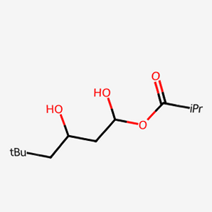 CC(C)C(=O)OC(O)CC(O)CC(C)(C)C